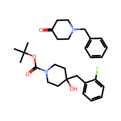 CC(C)(C)OC(=O)N1CCC(O)(Cc2ccccc2F)CC1.O=C1CCN(Cc2ccccc2)CC1